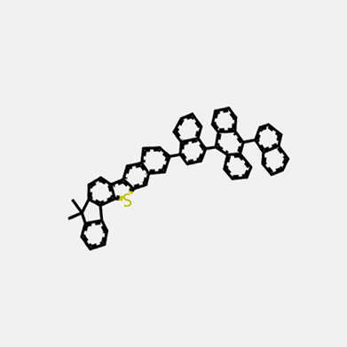 CC1(C)c2ccccc2-c2c1ccc1c2sc2cc3cc(-c4ccc(-c5c6ccccc6c(-c6cccc7ccccc67)c6ccccc56)c5ccccc45)ccc3cc21